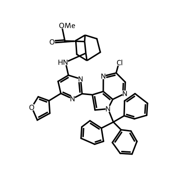 COC(=O)C1C2CCC(CC2)C1Nc1cc(-c2ccoc2)nc(-c2cn(C(c3ccccc3)(c3ccccc3)c3ccccc3)c3ncc(Cl)nc23)n1